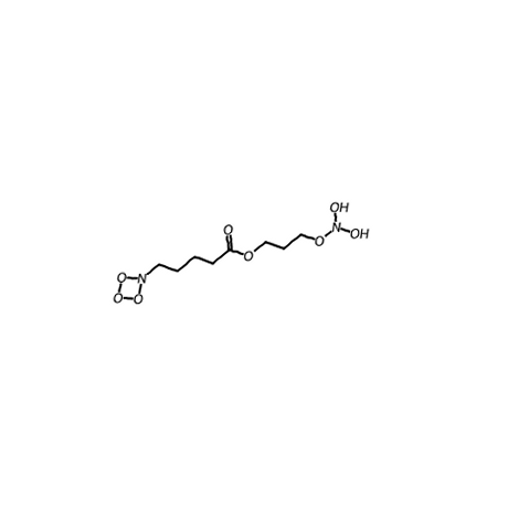 O=C(CCCCN1OOO1)OCCCON(O)O